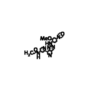 C=CC(=O)Nc1ccnc(-c2cncc3cnc(Nc4ccc(N5CCOCC5)cc4OC)nc23)c1